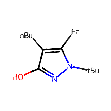 CCCCc1c(O)nn(C(C)(C)C)c1CC